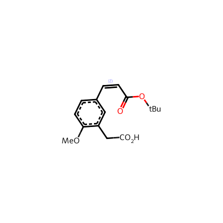 COc1ccc(/C=C\C(=O)OC(C)(C)C)cc1CC(=O)O